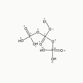 CCOP(=O)(OP(=O)(O)O)OP(=O)(O)O